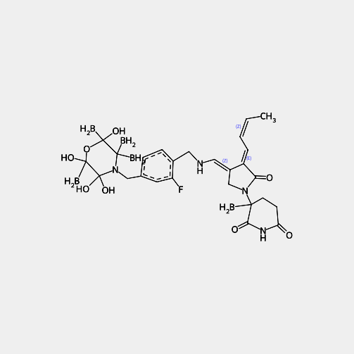 BC1(N2CC(=C\NCc3ccc(CN4C(B)(B)C(B)(O)OC(B)(O)C4(O)O)cc3F)/C(=C\C=C/C)C2=O)CCC(=O)NC1=O